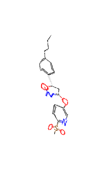 CCCCc1ccc([C@@H]2CC(Oc3ccc(S(C)(=O)=O)nc3)=NO2)cc1